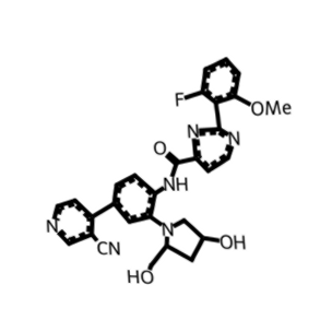 COc1cccc(F)c1-c1nccc(C(=O)Nc2ccc(-c3ccncc3C#N)cc2N2CC(O)CC2CO)n1